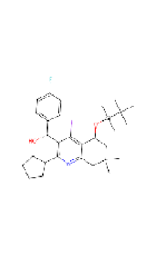 CC1(C)Cc2nc(C3CCCC3)c([C@H](O)c3ccc(F)cc3)c(I)c2[C@@H](O[Si](C)(C)C(C)(C)C)C1